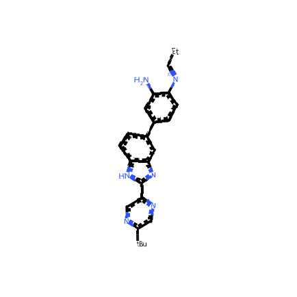 CC/C=N/c1ccc(-c2ccc3[nH]c(-c4cnc(C(C)(C)C)cn4)nc3c2)cc1N